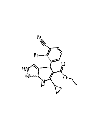 CCOC(=O)C1=C(C2CC2)Nc2n[nH]cc2C1c1cccc(C#N)c1Br